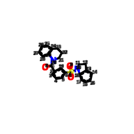 O=C(c1cccc(S(=O)(=O)N2CCc3ccccc32)c1)N1CCCc2ccccc21